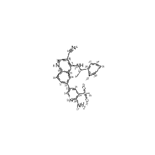 CC(Nc1c(C#N)cnc2ccc(-c3cnc(N)c(S(C)(=O)=O)c3)cc12)c1ccccc1